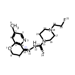 Cc1cnc2c(c1)OCC/C2=N/NC(=S)N1CCN(CCF)CC1